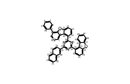 c1ccc(-c2cncc3c2oc2cccc(-c4nc(-c5ccc6ccccc6c5)nc(-c5cccc6oc7ccccc7c56)n4)c23)cc1